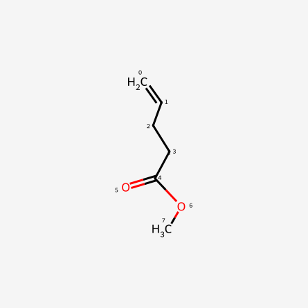 C=CC[CH]C(=O)OC